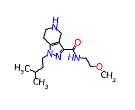 COCCNC(=O)c1nn(CCC(C)C)c2c1CNCC2